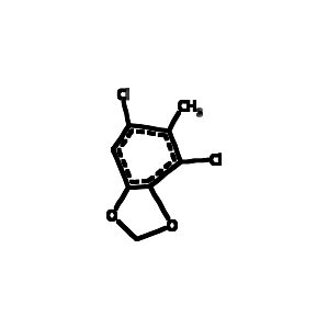 Cc1c(Cl)cc2c(c1Cl)OCO2